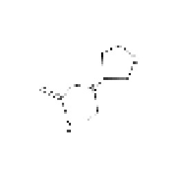 O=C1CN(C2CCOC2)CCN1